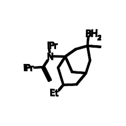 BC1(C)CC2CC(CC)CC(N(C(=C)C(C)C)C(C)C)(C2)C1